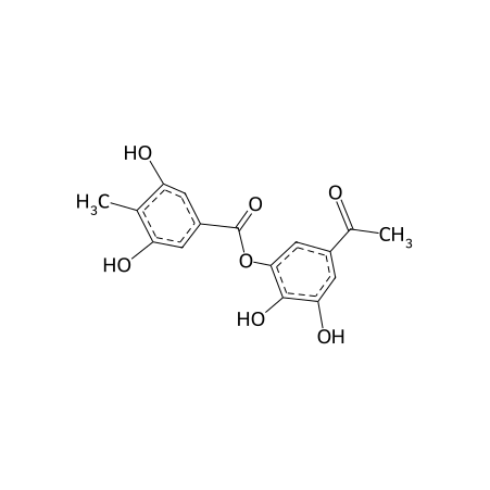 CC(=O)c1cc(O)c(O)c(OC(=O)c2cc(O)c(C)c(O)c2)c1